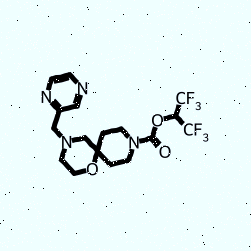 O=C(OC(C(F)(F)F)C(F)(F)F)N1CCC2(CC1)CN(Cc1cnccn1)CCO2